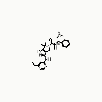 CCc1cc(Nc2n[nH]c3c2CN(C(=O)N[C@H](CN(C)C)c2ccccc2)C3(C)C)ncn1